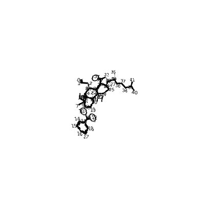 C=CC[C@@H]1C[C@H]2C(C)(C)[C@@H](OC(=O)c3ccccc3)CC[C@]2(C)[C@H]2CC[C@@]3(C)C(=C12)C(=O)C[C@@H]3[C@H](C)CCCC(C)C